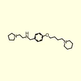 c1cc(OCCCCN2CCCCC2)ccc1CNCCN1CCCC1